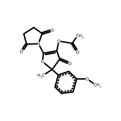 COc1cccc(C2(C)OC(N3C(=O)CCC3=O)=C(OC(C)=O)C2=O)c1